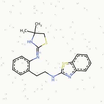 CC1(C)CS/C(=N/c2ccccc2CCNc2nc3ccccc3s2)N1